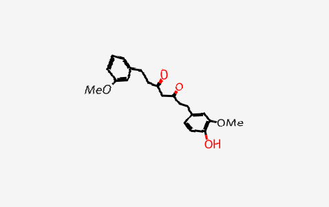 COc1cccc(CCC(=O)CC(=O)CCc2ccc(O)c(OC)c2)c1